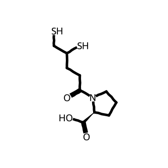 O=C(O)[C@@H]1CCCN1C(=O)CCC(S)CS